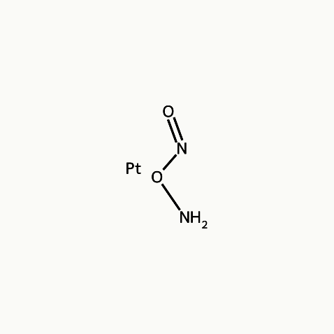 NON=O.[Pt]